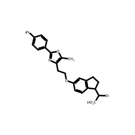 CCC(C(=O)O)C1CCc2cc(OCCc3nc(-c4ccc(C(C)C)cc4)oc3C)ccc21